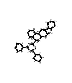 c1ccc(-c2nc(-c3ccccc3)nc(-c3nc4cc5sc6ccccc6c5cc4c4ccccc34)n2)cc1